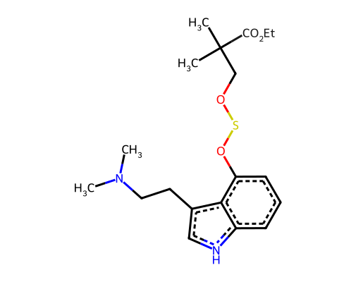 CCOC(=O)C(C)(C)COSOc1cccc2[nH]cc(CCN(C)C)c12